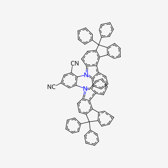 N#Cc1cc(C#N)c(-n2c3ccccc3c3c4c(ccc32)C(c2ccccc2)(c2ccccc2)c2ccccc2-4)c(-n2c3ccccc3c3c4c(ccc32)C(c2ccccc2)(c2ccccc2)c2ccccc2-4)c1